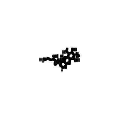 CN[C@@H]1[C@H](O)[C@H](NC)C2O[C@]3(O)C(OC2[C@@H]1O)O[C@H](C)C[C@H]3NC(=O)[C@@H](O)CCN